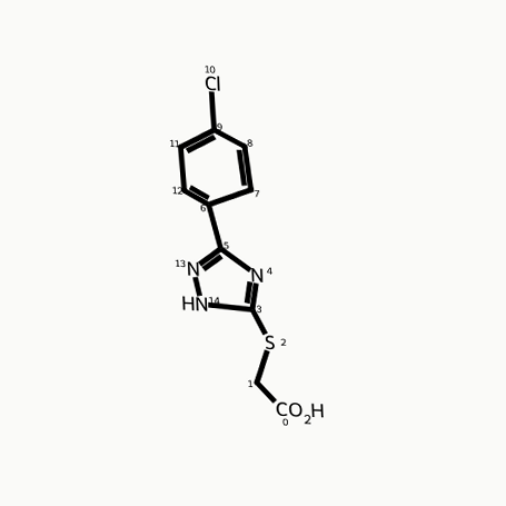 O=C(O)CSc1nc(-c2ccc(Cl)cc2)n[nH]1